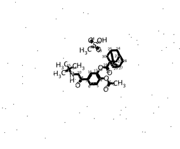 CC(=O)Oc1ccc(C(=O)CNC(C)(C)C)cc1OC(=O)C12CC3CC(CC(C3)C1)C2.CS(=O)(=O)O